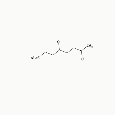 CCCCCCCC([O])CCC(C)Cl